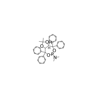 CN(C)P1OC(c2ccccc2)(c2ccccc2)C2OC(C)(C)O[C@H]2C(c2ccccc2)(c2ccccc2)O1